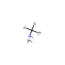 CCCC(N)(CC)CC.[SiH4]